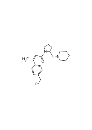 CC(=CC(=O)N1CCCC1CN1CCCCC1)c1ccc(CC(C)C)cc1